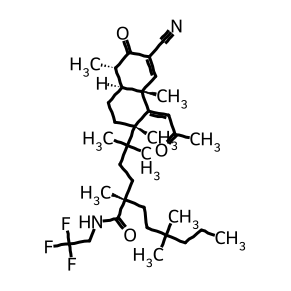 CCCC(C)(C)CC[C@@](C)(CCC(C)(C)[C@]1(C)CC[C@H]2[C@H](C)C(=O)C(C#N)=C[C@]2(C)/C1=C/C(C)=O)C(=O)NCC(F)(F)F